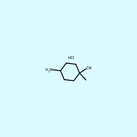 CC1(C#N)CCC(N)CC1.Cl